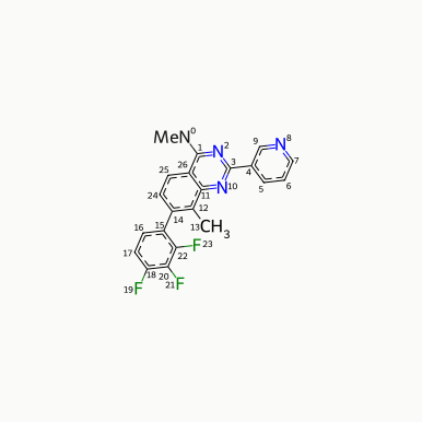 CNc1nc(-c2cccnc2)nc2c(C)c(-c3ccc(F)c(F)c3F)ccc12